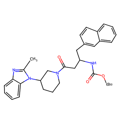 Cc1nc2ccccc2n1C1CCCN(C(=O)CC(Cc2ccc3ccccc3c2)NC(=O)OC(C)(C)C)C1